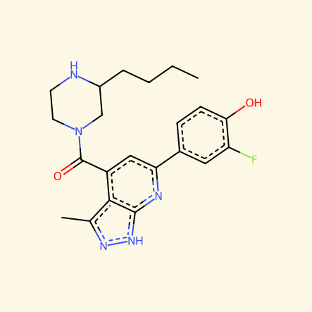 CCCCC1CN(C(=O)c2cc(-c3ccc(O)c(F)c3)nc3[nH]nc(C)c23)CCN1